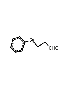 O=[C]CC[Se]c1ccccc1